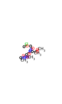 CCOC(=O)CC(C)c1ccc2c(c1)N(C(=O)c1ccccc1)CCN2C(=O)Cc1ccc(NC(=O)Nc2ccccc2C)c(OC)c1.O=C(Cl)c1ccccc1